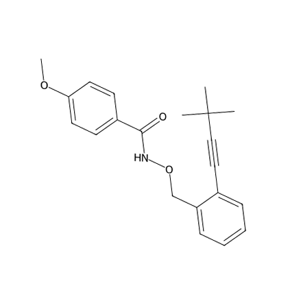 COc1ccc(C(=O)NOCc2ccccc2C#CC(C)(C)C)cc1